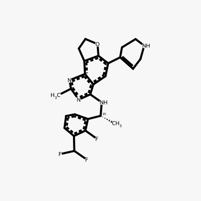 Cc1nc(N[C@H](C)c2cccc(C(F)F)c2F)c2cc(C3=CCNCC3)c3c(c2n1)CCO3